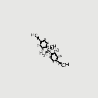 C#Cc1ccc([Si](C)(C)c2ccc(C#C)cc2)cc1